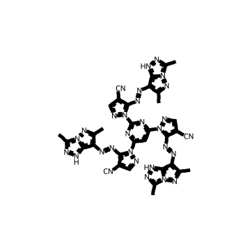 [C-]#[N+]c1cnn(-c2cc(-n3ncc(C#N)c3/N=N/c3c(C)nn4c(C)n[nH]c34)nc(-n3ncc(C#N)c3/N=N/c3c(C)nn4c(C)n[nH]c34)n2)c1/N=N/c1c(C)nn2c(C)n[nH]c12